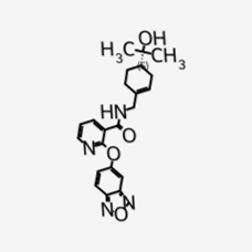 CC(C)(O)[C@@H]1CC=C(CNC(=O)c2cccnc2Oc2ccc3nonc3c2)CC1